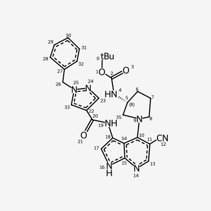 CC(C)(C)OC(=O)N[C@@H]1CCCN(c2c(C#N)cnc3[nH]cc(NC(=O)c4cnn(Cc5ccccc5)c4)c23)C1